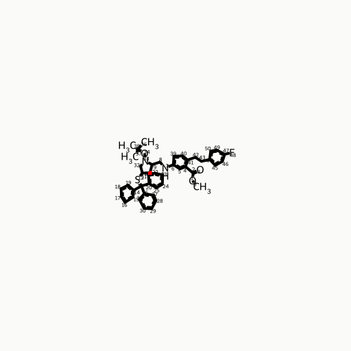 COC(=O)c1cc(NCC2CC(SC(c3ccccc3)(c3ccccc3)c3ccccc3)CN2OC(C)(C)C)ccc1CCc1ccc(F)cc1